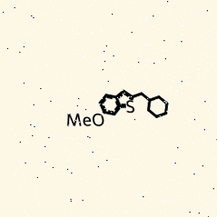 COc1ccc2cc(CC3CCCCC3)sc2c1